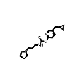 O=C(NCCCN1CCCC1)Oc1ccc(CC2CC2)cn1